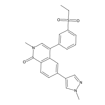 CCS(=O)(=O)c1cccc(-c2cn(C)c(=O)c3ccc(-c4cnn(C)c4)cc23)c1